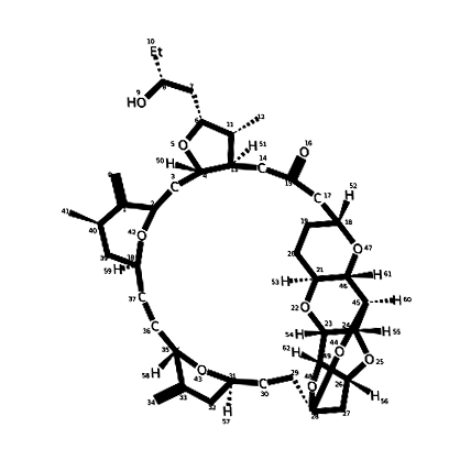 C=C1C2C[C@@H]3O[C@H](C[C@H](O)CC)[C@H](C)[C@H]3CC(=O)C[C@H]3CC[C@@H]4O[C@@H]5[C@H]6O[C@@H]7C[C@](CC[C@H]8CC(=C)[C@H](CC[C@@H](C[C@H]1C)O2)O8)(O[C@H]6[C@H]4O3)O[C@H]57